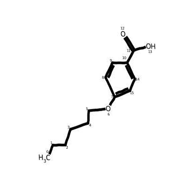 CCCCCCOc1ccc(C(=O)O)cc1